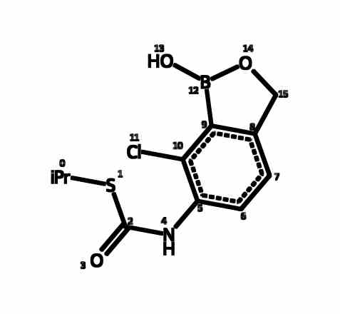 CC(C)SC(=O)Nc1ccc2c(c1Cl)B(O)OC2